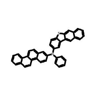 c1ccc(N(c2ccc3c(ccc4c5ccccc5ccc34)c2)c2ccc3sc4cc5ccccc5cc4c3c2)cc1